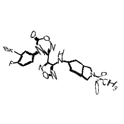 CS(=O)(=O)N1CC2CC(Nc3nonc3-c3noc(=O)n3-c3ccc(F)c(Br)c3)CC2C1